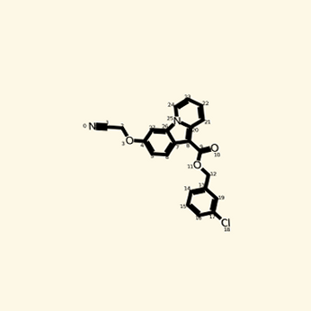 N#CCOc1ccc2c(C(=O)OCc3cccc(Cl)c3)c3ccccn3c2c1